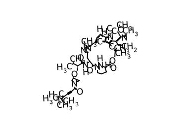 C=C/C(=C(\N=C/C)[C@H](C)OC)c1c2c3cc(ccc3n1CC)-c1nc(nn1C)C[C@H](NC(=O)[C@@H](COC1CN(C(=O)C#CC(C)(C)N(C)C)C1)C(C)C)C(=O)N1CCC[C@H](N1)C(=O)OCC(C)(C)C2